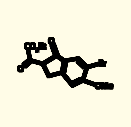 CCOC(=O)C(=O)C1Cc2cc(OC)c(Br)cc2C1=O